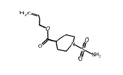 C=CCOC(=O)C1CCN(S(N)(=O)=O)CC1